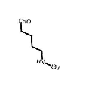 CC(C)(C)NCCCCC=O